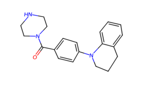 O=C(c1ccc(N2CCCc3ccccc32)cc1)N1CCNCC1